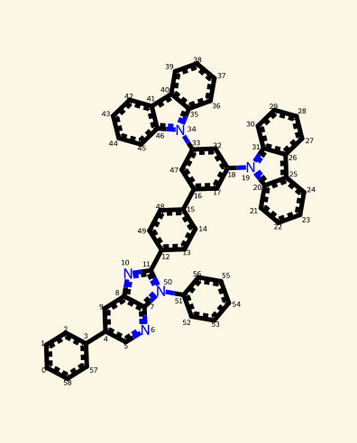 c1ccc(-c2cnc3c(c2)nc(-c2ccc(-c4cc(-n5c6ccccc6c6ccccc65)cc(-n5c6ccccc6c6ccccc65)c4)cc2)n3-c2ccccc2)cc1